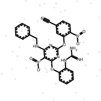 N#Cc1ccc([N+](=O)[O-])c(Oc2nc(NCc3ccccc3)c([N+](=O)[O-])c(Oc3ccccc3NC(=N)N)n2)c1